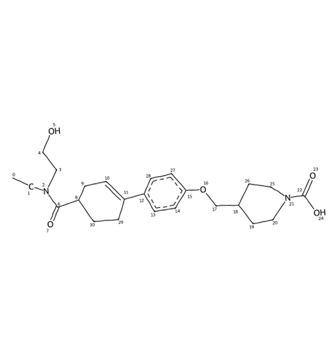 CCN(CCO)C(=O)C1CC=C(c2ccc(OCC3CCN(C(=O)O)CC3)cc2)CC1